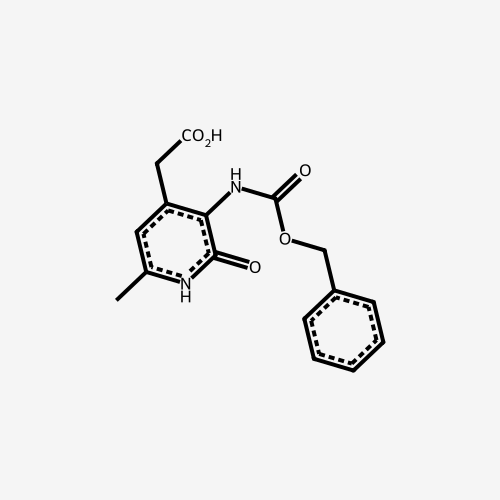 Cc1cc(CC(=O)O)c(NC(=O)OCc2ccccc2)c(=O)[nH]1